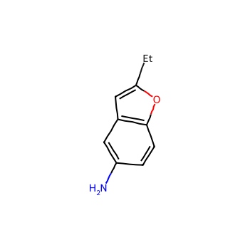 [CH2]Cc1cc2cc(N)ccc2o1